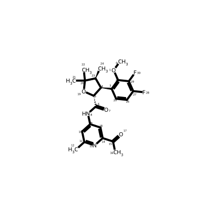 COc1c([C@H]2[C@H](C(=O)Nc3cc(C)nc(C(C)=O)c3)OC(C)(C)[C@H]2C)ccc(F)c1F